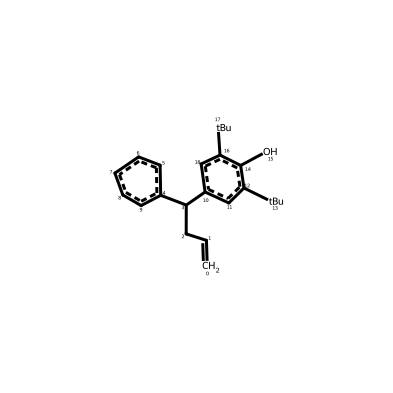 C=CCC(c1ccccc1)c1cc(C(C)(C)C)c(O)c(C(C)(C)C)c1